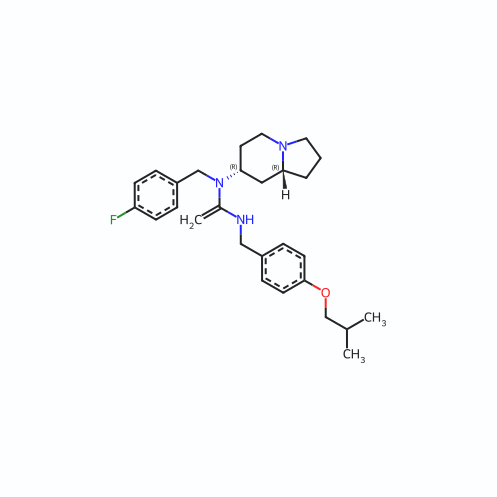 C=C(NCc1ccc(OCC(C)C)cc1)N(Cc1ccc(F)cc1)[C@@H]1CCN2CCC[C@@H]2C1